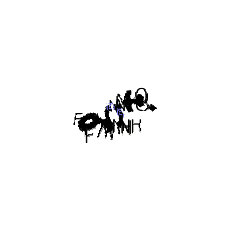 CCOC(=O)c1c(C)nn(C2=C/C(=N)Nc3c(c(-c4ccc(F)cc4F)nn3C)C/C=N\2)c1C